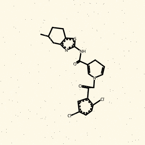 CC1CCc2sc(NC(=O)C3=CN(CC(=O)c4cc(Cl)ccc4Cl)C=CC3)nc2C1